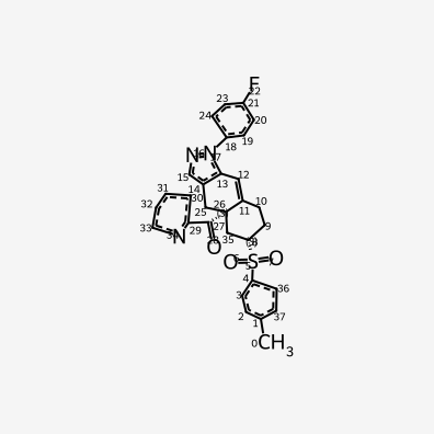 Cc1ccc(S(=O)(=O)[C@H]2CCC3=Cc4c(cnn4-c4ccc(F)cc4)C[C@]3(C(=O)c3ccccn3)C2)cc1